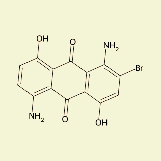 Nc1ccc(O)c2c1C(=O)c1c(O)cc(Br)c(N)c1C2=O